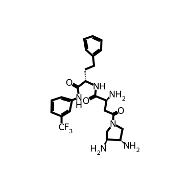 N[C@@H](CC(=O)N1C[C@H](N)[C@@H](N)C1)C(=O)N[C@@H](CCc1ccccc1)C(=O)Nc1cccc(C(F)(F)F)c1